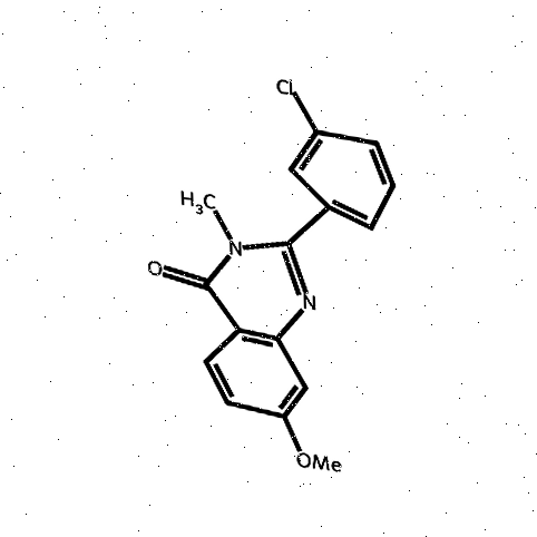 COc1ccc2c(=O)n(C)c(-c3cccc(Cl)c3)nc2c1